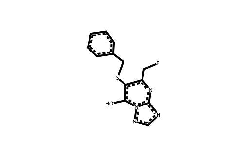 Oc1c(SCc2ccccc2)c(CF)nc2ncnn12